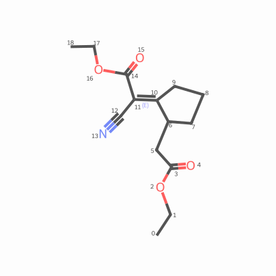 CCOC(=O)CC1CCC/C1=C(/C#N)C(=O)OCC